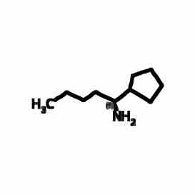 CCCC[C@H](N)C1CCCC1